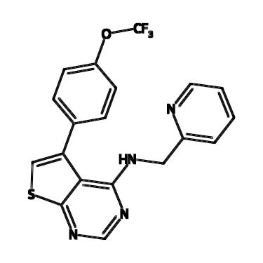 FC(F)(F)Oc1ccc(-c2csc3ncnc(NCc4ccccn4)c23)cc1